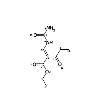 CCOC(=O)C(=CNC(N)=O)C(=O)CC